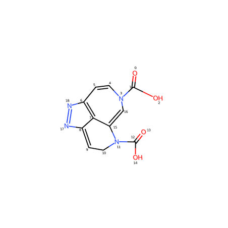 O=C(O)N1C=CC2=C3C(=CCN(C(=O)O)C3=C1)N=N2